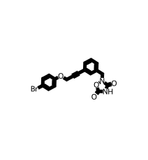 O=c1[nH]c(=O)n(Cc2cccc(C#CCOc3ccc(Br)cc3)c2)o1